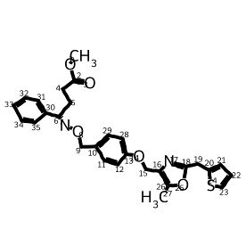 COC(=O)CC/C(=N\OCc1ccc(OCc2nc(Cc3cccs3)oc2C)cc1)c1ccccc1